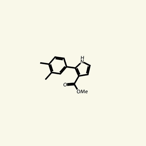 COC(=O)c1cc[nH]c1-c1ccc(C)c(C)c1